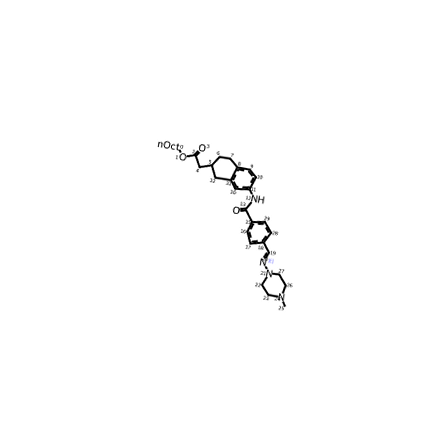 CCCCCCCCOC(=O)CC1CCc2ccc(NC(=O)c3ccc(/C=N/N4CCN(C)CC4)cc3)cc2C1